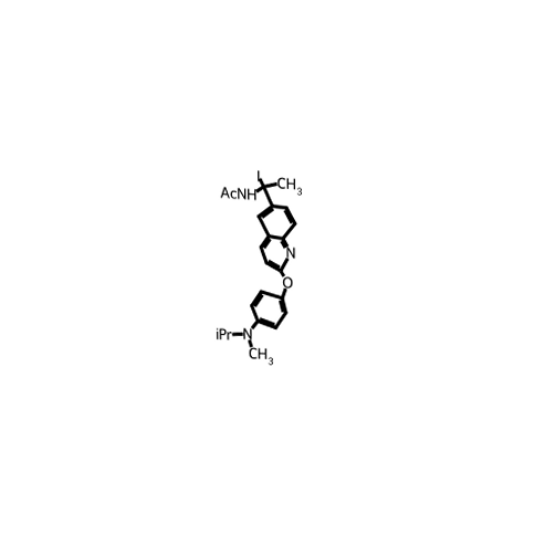 CC(=O)NC(C)(I)c1ccc2nc(Oc3ccc(N(C)C(C)C)cc3)ccc2c1